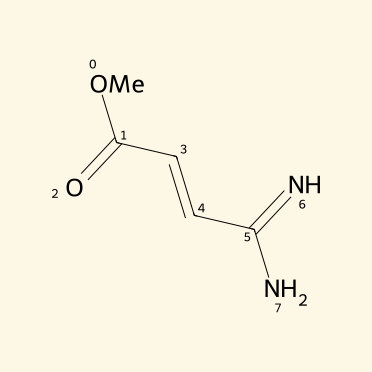 COC(=O)/C=C/C(=N)N